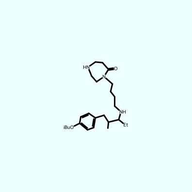 CCC(NCCCCN1CCNCCC1=O)C(C)Cc1ccc(OCC(C)C)cc1